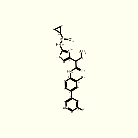 CCC(C(=O)Nc1ccc(-c2cncc(Cl)c2)cc1F)c1csc(N[S+]([O-])C2CC2)n1